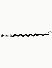 CCCCCC=CCC=CCC=CC/C=C/CCCC[O]